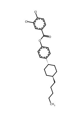 CCCCC[C@H]1CC[C@H](c2ccc(OC(=O)c3ccc(Cl)c(Cl)c3)cc2)CC1